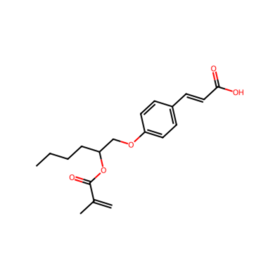 C=C(C)C(=O)OC(CCCC)COc1ccc(C=CC(=O)O)cc1